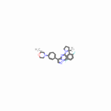 C[C@@H]1CN(C2=CCC=C(c3cnn4ccc(N5CCCC5(C)c5cc(F)ccc5F)nc34)C=C2)CCO1